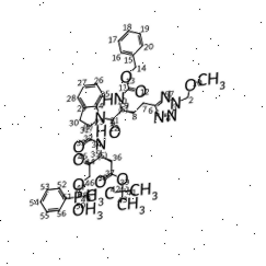 COCn1nnc(CC[C@H](NC(=O)OCc2ccccc2)C(=O)N2c3ccccc3C[C@H]2C(=O)N[C@@H](CC(=O)OC(C)(C)C)C(=O)COP(C)(=O)c2ccccc2)n1